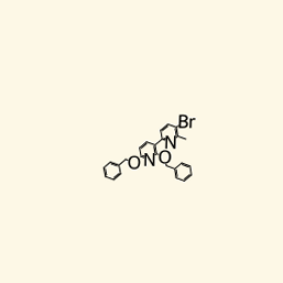 Cc1nc(-c2ccc(OCc3ccccc3)nc2OCc2ccccc2)ccc1Br